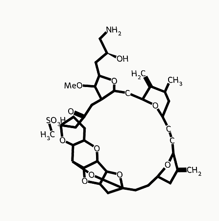 C=C1CC2CCC34CC5OC6C(OC7CCC(CC(=O)CC8C(CC9OC(CCC1O2)CC(C)C9=C)OC(C[C@H](O)CN)C8OC)OC7C6O3)C5O4.CS(=O)(=O)O